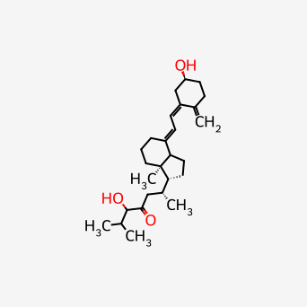 C=C1CC[C@H](O)C/C1=C/C=C1CCC[C@@]2(C)C1CC[C@@H]2[C@H](C)CC(=O)C(O)C(C)C